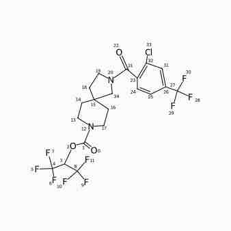 O=C(OC(C(F)(F)F)C(F)(F)F)N1CCC2(CC1)CCN(C(=O)c1ccc(C(F)(F)F)cc1Cl)C2